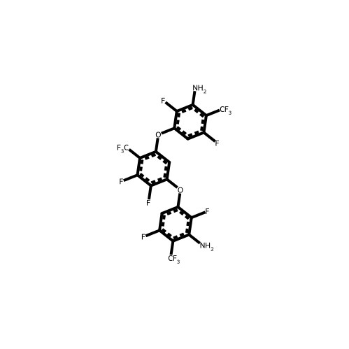 Nc1c(F)c(Oc2cc(Oc3cc(F)c(C(F)(F)F)c(N)c3F)c(C(F)(F)F)c(F)c2F)cc(F)c1C(F)(F)F